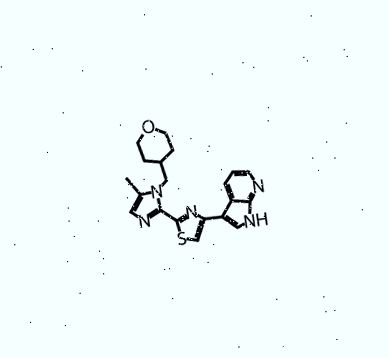 Cc1cnc(-c2nc(-c3c[nH]c4ncccc34)cs2)n1CC1CCOCC1